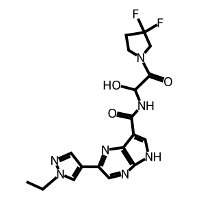 CCn1cc(-c2cnc3[nH]cc(C(=O)NC(O)C(=O)N4CCC(F)(F)C4)c3n2)cn1